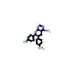 Cc1ccc(-c2cc3c(N)ncnc3nc2-c2ccc(Cl)cc2)cc1